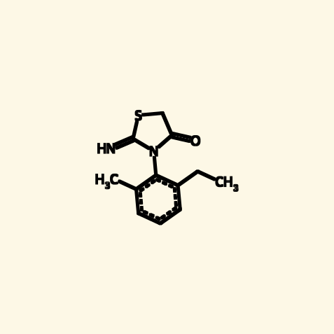 CCc1cccc(C)c1N1C(=N)SCC1=O